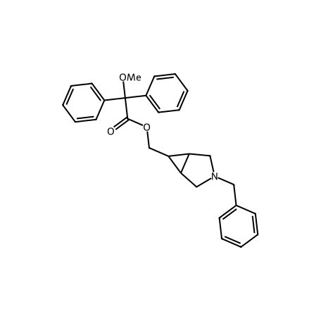 COC(C(=O)OCC1C2CN(Cc3ccccc3)CC12)(c1ccccc1)c1ccccc1